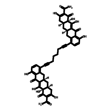 NC(=O)C1=C(O)C[C@@H]2C[C@@H]3Cc4c(C#CCCCCC#Cc5ccc(O)c6c5C[C@H]5C[C@H]7CC(O)=C(C(N)=O)C(=O)[C@@]7(O)C(O)=C5C6=O)ccc(O)c4C(=O)C3=C(O)[C@]2(O)C1=O